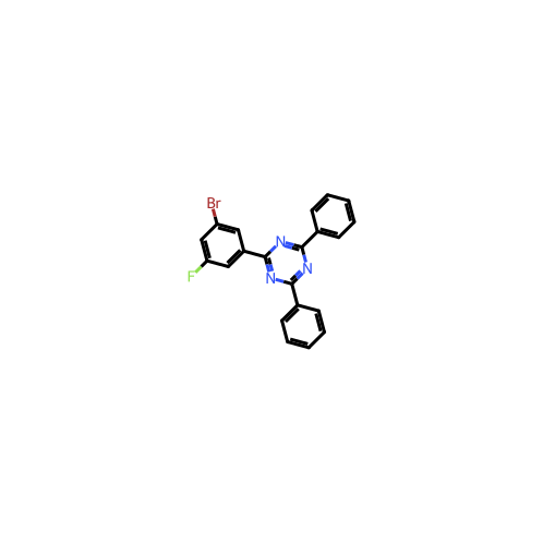 Fc1cc(Br)cc(-c2nc(-c3ccccc3)nc(-c3ccccc3)n2)c1